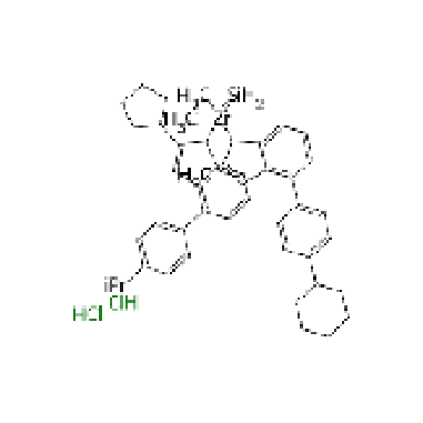 CC1=Cc2c(-c3ccc(C4CCCCC4)cc3)cccc2[CH]1[Zr]([CH3])([CH3])(=[SiH2])[CH]1C(C2CCCC2)=Cc2c(-c3ccc(C(C)C)cc3)cccc21.Cl.Cl